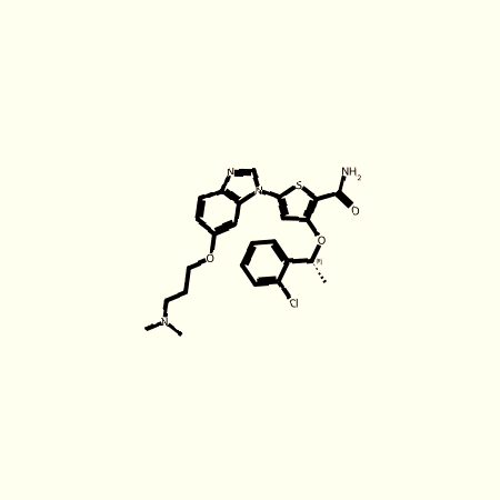 C[C@@H](Oc1cc(-n2cnc3ccc(OCCCN(C)C)cc32)sc1C(N)=O)c1ccccc1Cl